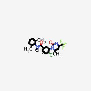 Cc1cccc(C)c1N(C)C(=O)c1ccc(Cl)c(-n2c(C)cc(C(F)(F)F)nc2=O)c1